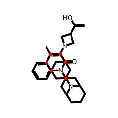 C=C(O)C1CN(c2nc3ccccc3n(C3CC4CCCC(C3)N4C3CC4CC(C)CC(C4)C3)c2=O)C1